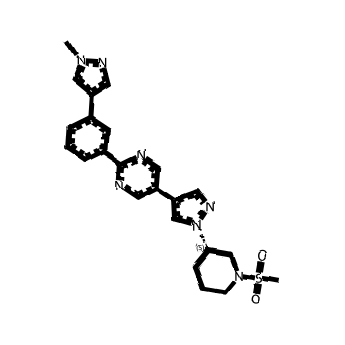 Cn1cc(-c2cccc(-c3ncc(-c4cnn([C@H]5CCCN(S(C)(=O)=O)C5)c4)cn3)c2)cn1